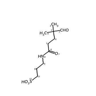 CC(C)(C=O)CCC(=O)NCCCS(=O)(=O)O